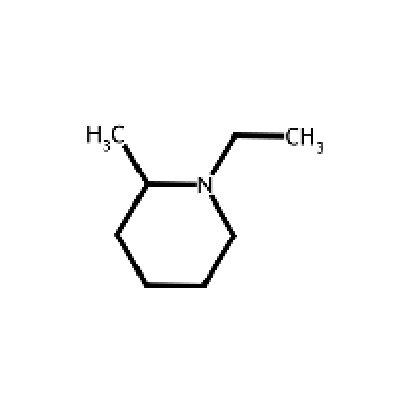 CCN1CCCCC1C